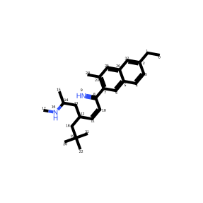 CCc1ccc2cc(C(=N)/C=C\C(CC(C)NC)CC(C)(C)C)c(C)cc2c1